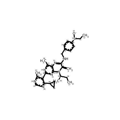 C=C1C(NCc2ccc([S+]([O-])CC)cc2)=Nc2c(C)nc(-c3c(C)ncnc3C3CC3)nc2N1[C@H](C)CC